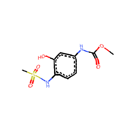 COC(=O)Nc1ccc(NS(C)(=O)=O)c(O)c1